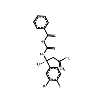 C=C(C)C[C@](C)(NC(=S)NC(=O)c1ccccc1)c1ccc(F)c(Br)c1